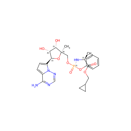 C[C@H](N[P@](=O)(OC[C@@]1(C)O[C@@H](c2ccc3c(N)ncnn23)[C@H](O)[C@@H]1O)Oc1ccccc1)C(=O)OCC1CC1